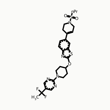 CCCS(=O)(=O)N1CC=C(c2ccc3nc(OC4CCN(c5ncc(C(C)(F)F)cn5)CC4)sc3c2)CC1